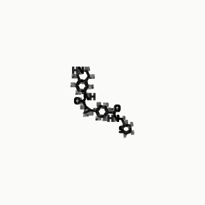 O=C(NCc1cccs1)c1ccc(C2CC2C(=O)Nc2ccc3c(c2)CCNC3)cc1